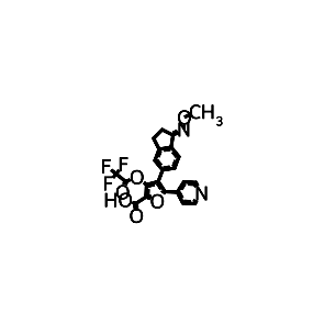 CON=C1CCc2cc(-c3c(-c4ccncc4)oc(C(=O)O)c3OC(=O)C(F)(F)F)ccc21